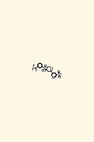 C[C@@]1(S(=O)(=O)c2cccc(C(F)(F)F)c2)CCO[C@@H](c2cncc(S(C)(=O)=O)c2)C1